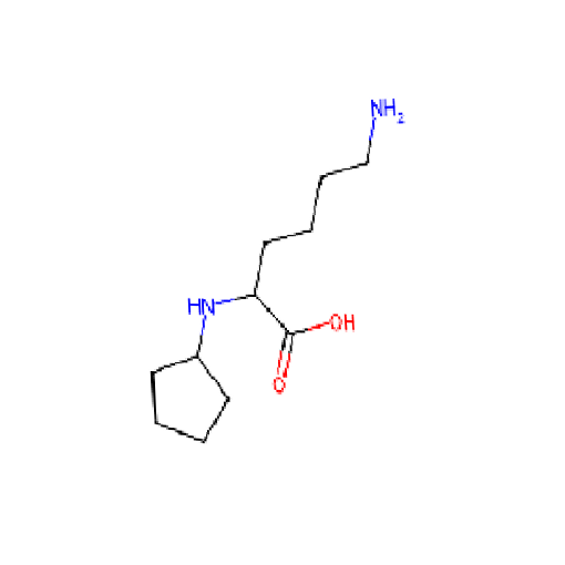 NCCCCC(NC1CCCC1)C(=O)O